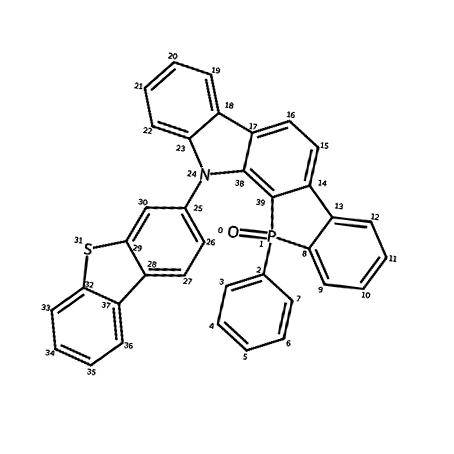 O=P1(c2ccccc2)c2ccccc2-c2ccc3c4ccccc4n(-c4ccc5c(c4)sc4ccccc45)c3c21